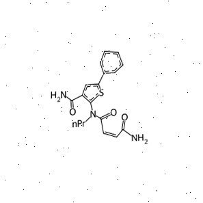 CCCN(C(=O)/C=C\C(N)=O)c1sc(-c2ccccc2)cc1C(N)=O